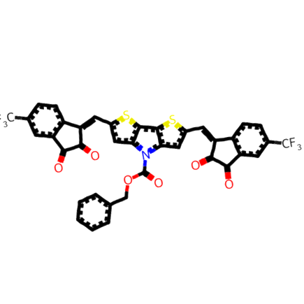 O=C1C(=O)c2cc(C(F)(F)F)ccc2/C1=C/c1cc2c(s1)c1sc(/C=C3\C(=O)C(=O)c4cc(C(F)(F)F)ccc43)cc1n2C(=O)OCc1ccccc1